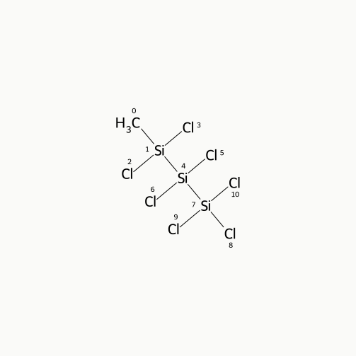 C[Si](Cl)(Cl)[Si](Cl)(Cl)[Si](Cl)(Cl)Cl